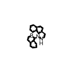 b1ccc2ccccc2c1N1NC=Cc2ccc3ccccc3c21